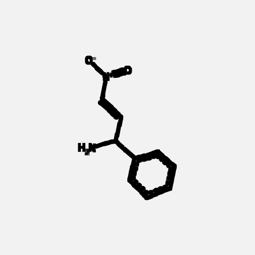 NC(C=C[N+](=O)[O-])c1ccccc1